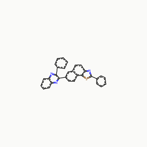 c1ccc(-c2nc3ccc4cc(-c5nc6ccccc6nc5-c5ccccc5)ccc4c3s2)cc1